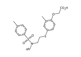 CCCN(CCSc1ccc(OCC(=O)O)c(C)c1)S(=O)(=O)c1ccc(C)cc1